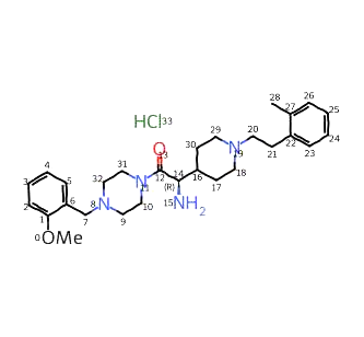 COc1ccccc1CN1CCN(C(=O)[C@H](N)C2CCN(CCc3ccccc3C)CC2)CC1.Cl